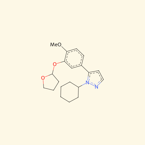 COc1ccc(-c2ccnn2C2CCCCC2)cc1OC1CCCO1